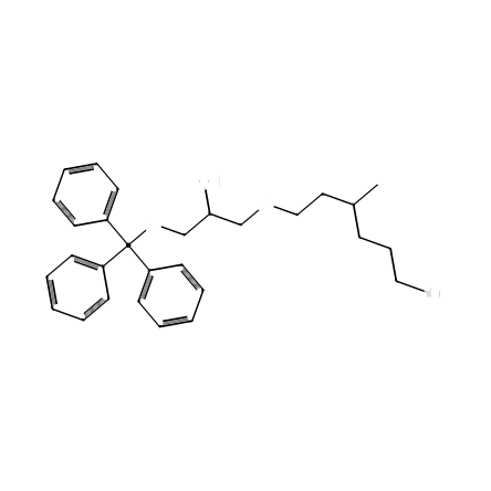 CC(C)CCCC(C)CCOCC(O)COC(c1ccccc1)(c1ccccc1)c1ccccc1